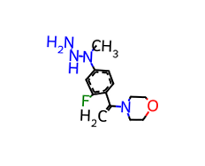 C=C(c1ccc(N(C)NN)cc1F)N1CCOCC1